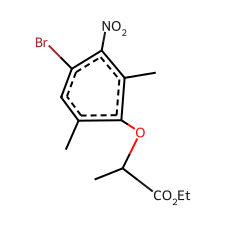 CCOC(=O)C(C)Oc1c(C)cc(Br)c([N+](=O)[O-])c1C